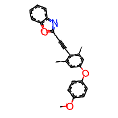 COc1ccc(Oc2cc(C)c(C#Cc3nc4ccccc4o3)c(C)c2)cc1